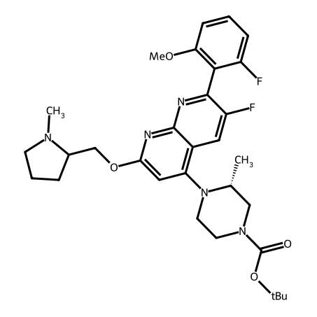 COc1cccc(F)c1-c1nc2nc(OCC3CCCN3C)cc(N3CCN(C(=O)OC(C)(C)C)C[C@H]3C)c2cc1F